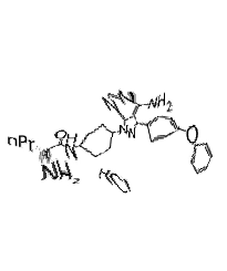 CCC[C@@H](N)C(=O)NC1CCC(n2nc(-c3ccc(Oc4ccccc4)cc3)c3c(N)ncnc32)CC1.Cl